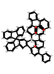 c1ccc(-c2ccc(-c3cc4c(cc3N(c3ccc5c6ccccc6c6ccccc6c5c3)c3ccccc3-c3ccccc3)C3(c5ccccc5-c5ccccc53)c3ccccc3-4)cc2)cc1